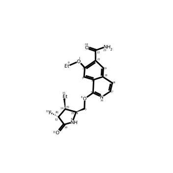 CCOc1cc2c(OC[C@H]3NC(=O)[C@H](F)[C@H]3CC)nccc2cc1C(N)=O